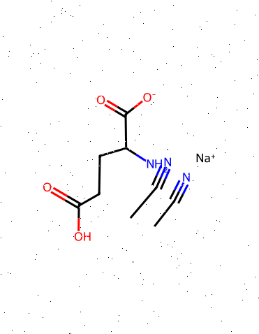 CC#N.CC#N.NC(CCC(=O)O)C(=O)[O-].[Na+]